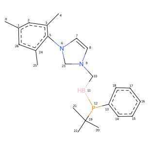 Cc1cc(C)c(N2C=CN(CBP(c3ccccc3)C(C)(C)C)C2)c(C)c1